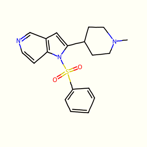 CN1CCC(c2cc3cnccc3n2S(=O)(=O)c2ccccc2)CC1